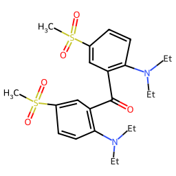 CCN(CC)c1ccc(S(C)(=O)=O)cc1C(=O)c1cc(S(C)(=O)=O)ccc1N(CC)CC